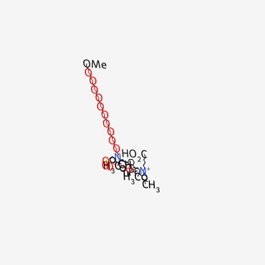 CCCC1(C)C(C=CC2=C(Oc3ccccc3)C(=CC=C3N(CCOCCOCCOCCOCCOCCOCCOCCOCCOCCOCCOC)c4ccc(S(=O)(=O)[O-])cc4C3(C)C)CCC2)=[N+](CCCCCC(=O)O)c2ccc(C)cc21